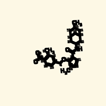 Cc1cc(COc2c(C(=O)NC3CC4CC(C)CC(C4)C3)cnn2C)ccc1[N+](=O)[O-]